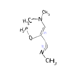 C/N=C/C(=C/N(C)C)OP